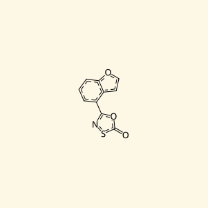 O=c1oc(-c2cccc3occc23)ns1